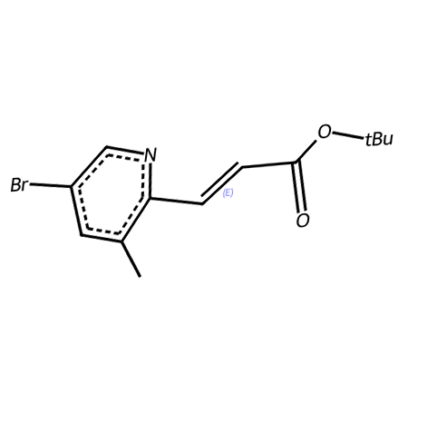 Cc1cc(Br)cnc1/C=C/C(=O)OC(C)(C)C